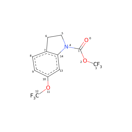 O=C(OC(F)(F)F)N1CCc2ccc(OC(F)(F)F)cc21